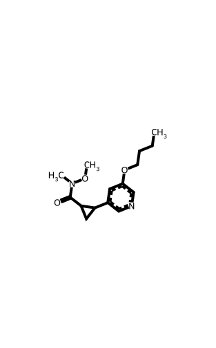 CCCCOc1cncc(C2CC2C(=O)N(C)OC)c1